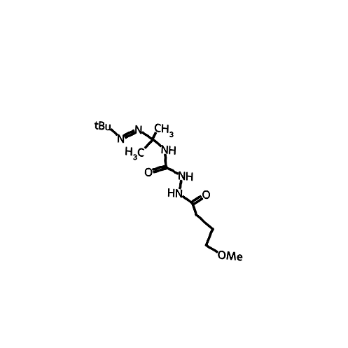 COCCCC(=O)NNC(=O)NC(C)(C)N=NC(C)(C)C